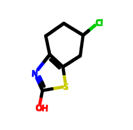 Oc1nc2c(s1)CC(Cl)CC2